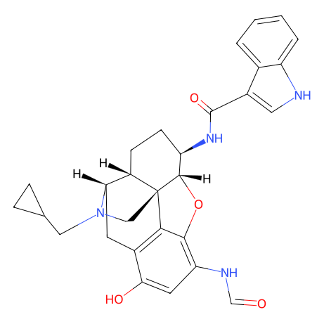 O=CNc1cc(O)c2c3c1O[C@H]1[C@H](NC(=O)c4c[nH]c5ccccc45)CC[C@H]4[C@@H](C2)N(CC2CC2)CC[C@@]341